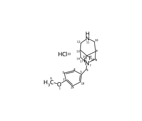 COc1ccc(CN2CC3CNCC(C2)C3(F)F)cc1.Cl